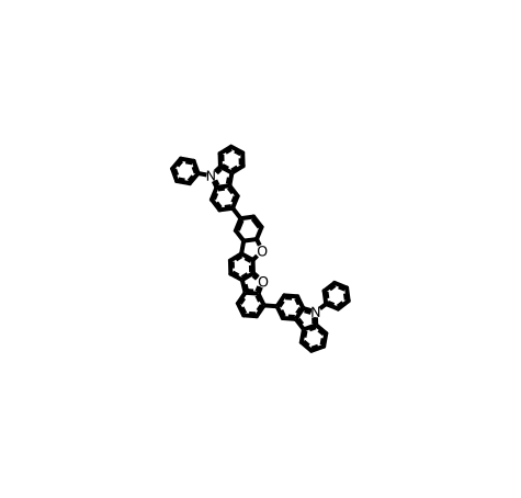 C1=CC2Oc3c(ccc4c3oc3c(-c5ccc6c(c5)c5ccccc5n6-c5ccccc5)cccc34)C2C=C1c1ccc2c(c1)c1ccccc1n2-c1ccccc1